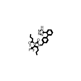 CCCC(=O)n1c(C(F)(F)F)c(CCC)n(Cc2ccc(-c3ccccc3-c3nnn[nH]3)cc2)c1=O